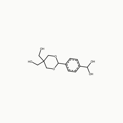 OCC1(CO)COC(c2ccc(C(O)O)cc2)OC1